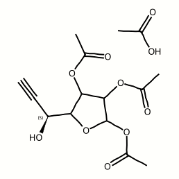 C#C[C@H](O)C1OC(OC(C)=O)C(OC(C)=O)C1OC(C)=O.CC(=O)O